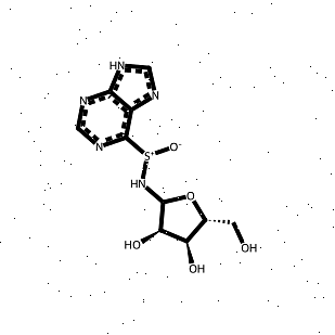 [O-][S+](NC1O[C@H](CO)[C@@H](O)[C@H]1O)c1ncnc2[nH]cnc12